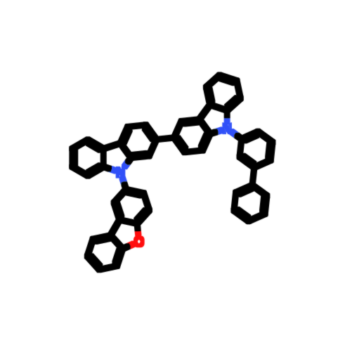 c1ccc(-c2cccc(-n3c4ccccc4c4cc(-c5ccc6c7ccccc7n(-c7ccc8oc9ccccc9c8c7)c6c5)ccc43)c2)cc1